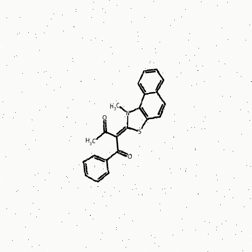 CC(=O)/C(C(=O)c1ccccc1)=C1/Sc2ccc3ccccc3c2N1C